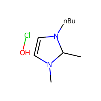 CCCCN1C=CN(C)C1C.OCl